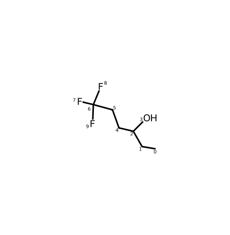 CCC(O)CCC(F)(F)F